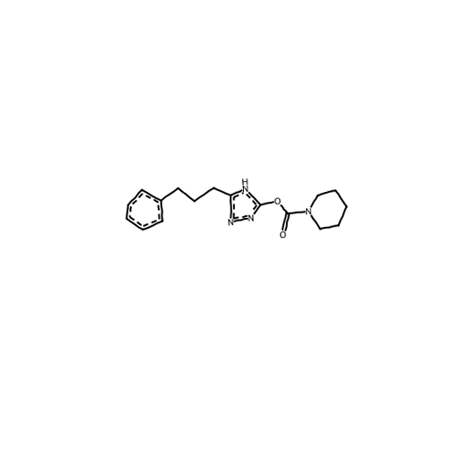 O=C(Oc1nnc(CCCc2ccccc2)[nH]1)N1CCCCC1